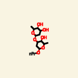 CCCO[C@H]1CC(O[C@H]2CC(O)[C@@H](O)C(C)O2)[C@@H](O)C(C)O1